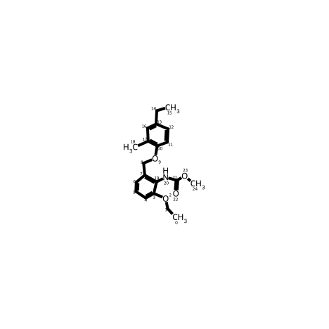 CCOc1cccc(COc2ccc(CC)cc2C)c1NC(=O)OC